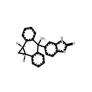 CC1(c2ccc3oc(=O)[nH]c3c2)c2ccccc2[C@H]2C[C@H]2c2ccccc21